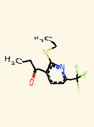 CCSc1nc(C(F)(F)F)ccc1C(=O)CC